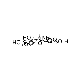 N[C@@H](Cc1ccc(OS(=O)(=O)O)cc1)C(=O)N(I)[C@@H](Cc1ccc(OS(=O)(=O)O)cc1)C(=O)O